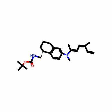 C=C/C(C)=C\C=C(/C)N(C)c1ccc2c(c1)CCC[C@H]2CNC(=O)OC(C)(C)C